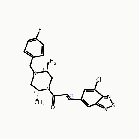 C[C@@H]1CN(Cc2ccc(F)cc2)[C@@H](C)CN1C(=O)/C=C/c1cc(Cl)c2nsnc2c1